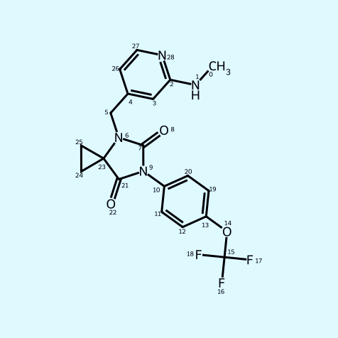 CNc1cc(CN2C(=O)N(c3ccc(OC(F)(F)F)cc3)C(=O)C23CC3)ccn1